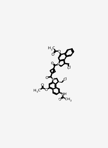 CC(=O)Nc1ccc2c(OC(C)=O)cc3c(c2c1)[C@H](CCl)CN3C(=O)C12CC(C(=O)N3CC(CCl)c4c3cc(OC(C)=O)c3ccccc43)(C1)C2